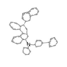 c1ccc(-c2ccc(N(c3ccccc3)c3cc4cc(-c5ccc6ccccc6c5)c5ccccc5c4c4ccccc34)cc2)cc1